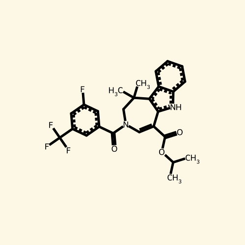 CC(C)OC(=O)C1=CN(C(=O)c2cc(F)cc(C(F)(F)F)c2)CC(C)(C)c2c1[nH]c1ccccc21